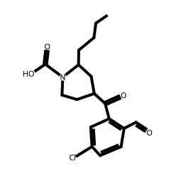 CCCCC1CC(C(=O)c2cc(Cl)ccc2C=O)CCN1C(=O)O